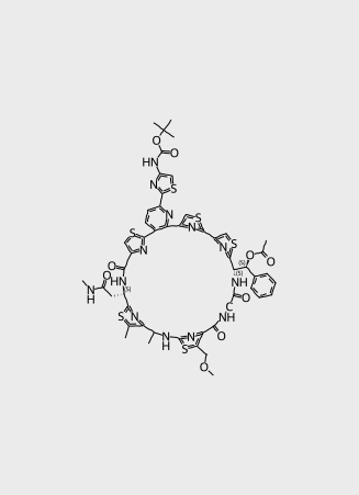 CNC(=O)C[C@@H]1NC(=O)c2csc(n2)-c2ccc(-c3nc(NC(=O)OC(C)(C)C)cs3)nc2-c2csc(n2)-c2csc(n2)[C@H]([C@@H](OC(C)=O)c2ccccc2)NC(=O)CNC(=O)c2nc(sc2COC)NC(C)c2nc1sc2C